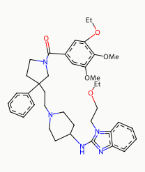 CCOCCn1c(NC2CCN(CCC3(c4ccccc4)CCN(C(=O)c4cc(OC)c(OC)c(OCC)c4)C3)CC2)nc2ccccc21